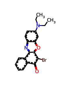 CCN(CC)c1ccc2nc3c4ccccc4c(=O)c(Br)c-3oc2c1